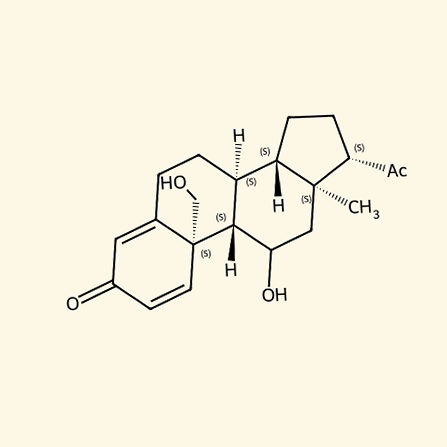 [CH2]C(=O)[C@H]1CC[C@H]2[C@@H]3CCC4=CC(=O)C=C[C@]4(CO)[C@H]3C(O)C[C@]12C